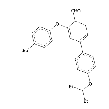 CCC(CC)Oc1ccc(C2=CCC(C=O)C(Oc3ccc(C(C)(C)C)cc3)=C2)cc1